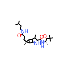 CC(C)CCNC(=O)CC[C@@]1(C)C2C3=C(C(C)C(C(=O)N[C@@H](C)C(=O)C(C)(C)C)N3)C21